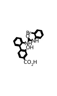 O=C(Nc1ccccc1Br)Nc1ccccc1-c1ccc(C(=O)O)cc1O